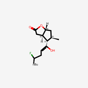 CCCCC(F)CC=C(O)[C@@H]1[C@H]2CC(=O)O[C@@H]2C[C@H]1C